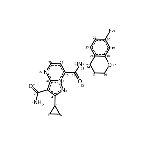 NC(=O)c1c(C2CC2)nn2c(C(=O)N[C@H]3CCOc4cc(F)ccc43)ccnc12